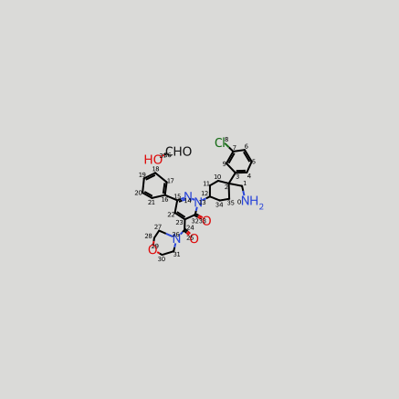 NCC1(c2cccc(Cl)c2)CCC(n2nc(-c3ccccc3)cc(C(=O)N3CCOCC3)c2=O)CC1.O=CO